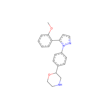 COc1ccccc1-c1ccnn1-c1ccc(C2CNCCO2)cc1